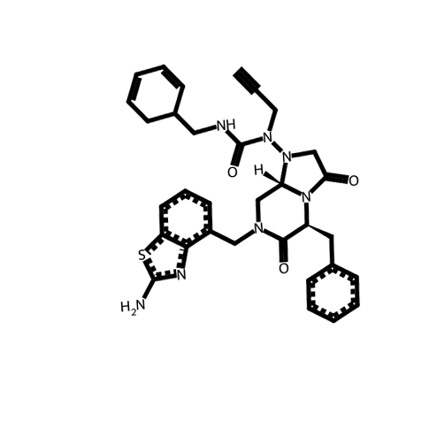 C#CCN(C(=O)NCC1C=CC=CC1)N1CC(=O)N2[C@@H](Cc3ccccc3)C(=O)N(Cc3cccc4sc(N)nc34)C[C@@H]21